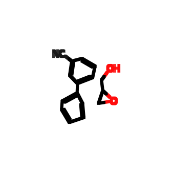 N#Cc1cccc(-c2ccccc2)c1.OCC1CO1